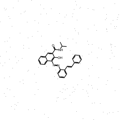 CC(C)NC(=O)c1cc2ccccc2c(N=Nc2ccccc2C=Cc2ccccc2)c1O